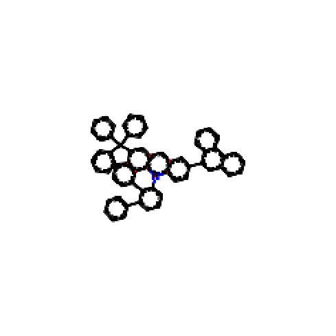 c1ccc(-c2ccccc2-c2c(-c3ccccc3)cccc2N(c2ccc(-c3cc4ccccc4c4ccccc34)cc2)c2ccc3c(c2)-c2ccccc2C3(c2ccccc2)c2ccccc2)cc1